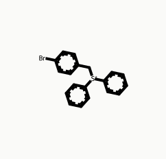 Brc1ccc(C[S+](c2ccccc2)c2ccccc2)cc1